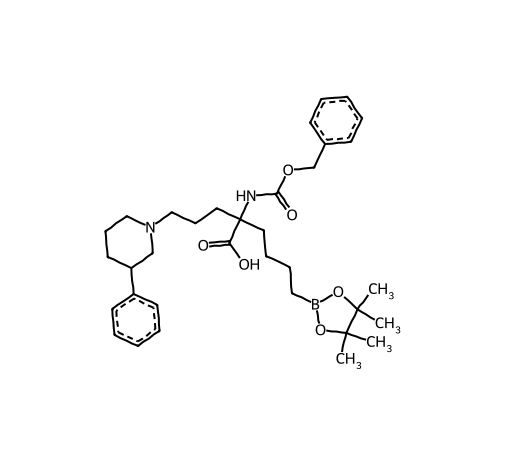 CC1(C)OB(CCCCC(CCCN2CCCC(c3ccccc3)C2)(NC(=O)OCc2ccccc2)C(=O)O)OC1(C)C